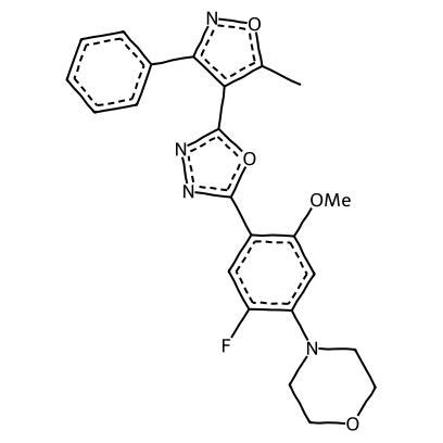 COc1cc(N2CCOCC2)c(F)cc1-c1nnc(-c2c(-c3ccccc3)noc2C)o1